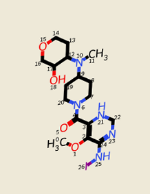 COC1=C(C(=O)N2CCC(N(C)C3CCOCC3O)CC2)NCN=C1NI